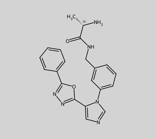 C[C@H](N)C(=O)NCc1cccc(-n2cncc2-c2nnc(-c3ccccc3)o2)c1